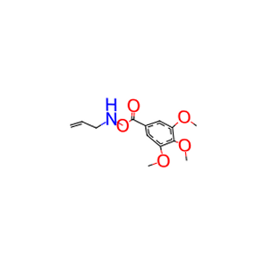 C=CCNOC(=O)c1cc(OC)c(OC)c(OC)c1